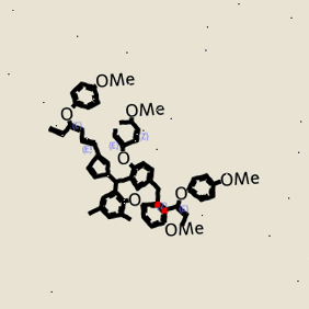 C=C/C(=C\C=C\C1=CC(C(c2cc(C/C=C\C(=C/C)Oc3ccc(OC)cc3)ccc2OC(/C=C\C(C)OC)=C/C)c2cc(C)cc(C)c2Oc2ccc(OC)cc2)C=C1)Oc1ccc(OC)cc1